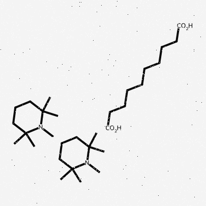 CN1C(C)(C)CCCC1(C)C.CN1C(C)(C)CCCC1(C)C.O=C(O)CCCCCCCCC(=O)O